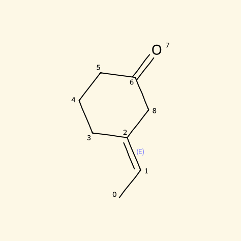 C/C=C1\CCCC(=O)C1